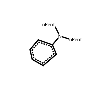 CCCCCN(CCCCC)c1c[c]ccc1